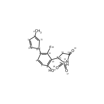 Cc1cnn(-c2ccc(O)c(N3CC(=O)NS3(=O)=O)c2F)c1